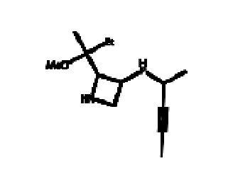 CC#CC(C)PC1CNC1C(C)(CC)OC